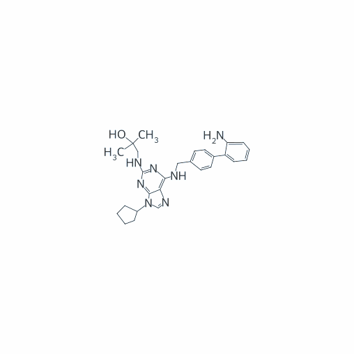 CC(C)(O)CNc1nc(NCc2ccc(-c3ccccc3N)cc2)c2ncn(C3CCCC3)c2n1